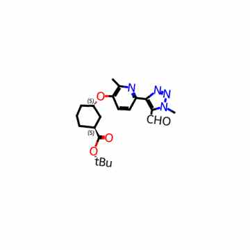 Cc1nc(-c2nnn(C)c2C=O)ccc1O[C@H]1CCC[C@H](C(=O)OC(C)(C)C)C1